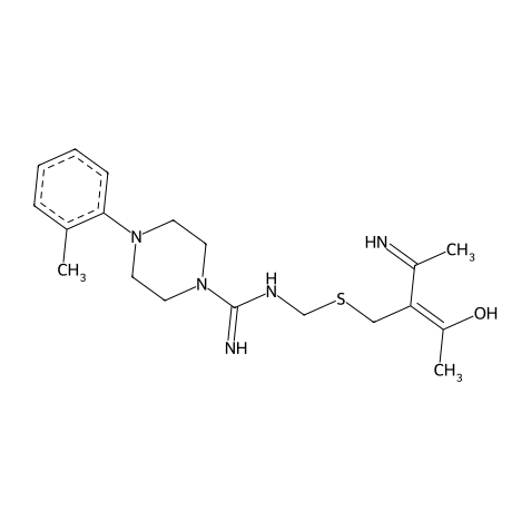 CC(=N)/C(CSCNC(=N)N1CCN(c2ccccc2C)CC1)=C(/C)O